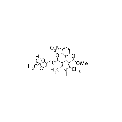 COC(=O)C1=C(C)NC(C)=C(C(=O)OCC2COC(C)(C)O2)C1c1cccc([N+](=O)[O-])c1